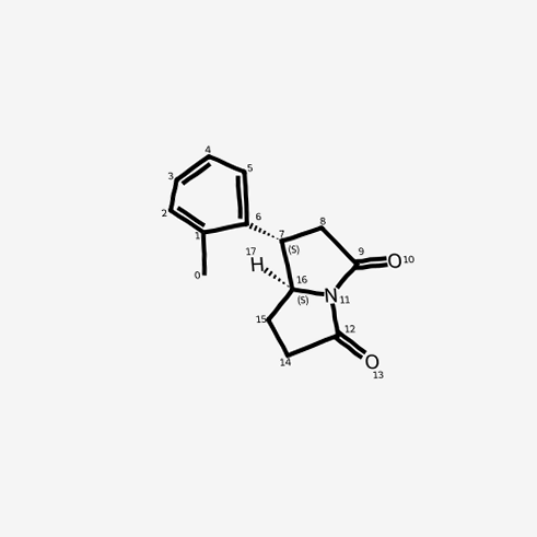 Cc1ccccc1[C@@H]1CC(=O)N2C(=O)CC[C@@H]12